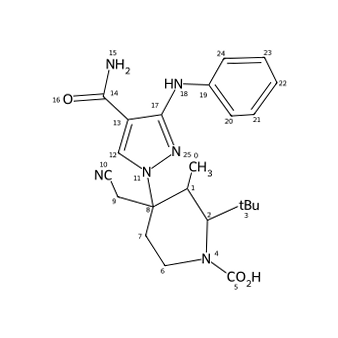 CC1C(C(C)(C)C)N(C(=O)O)CCC1(CC#N)n1cc(C(N)=O)c(Nc2ccccc2)n1